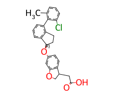 Cc1cccc(Cl)c1-c1cccc2c1CC[C@H]2Oc1ccc2c(c1)OCC2CC(=O)O